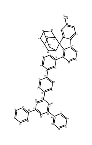 N#Cc1ccc2c(c1)C1(c3c(-c4cccc(-c5ccc(-c6nc(-c7ccccc7)nc(-c7ccccc7)n6)cc5)c4)cccc3-2)C2CC3CC(C2)CC1C3